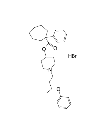 Br.CC(CCN1CCC(OC(=O)C2(c3ccccc3)CCCCCC2)CC1)Oc1ccccc1